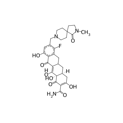 CN1CCC2(CCN(Cc3cc(O)c4c(c3F)CC3C[C@H]5CC(O)=C(C(N)=O)C(=O)[C@@]5(O)C(O)=C3C4=O)CC2)C1=O